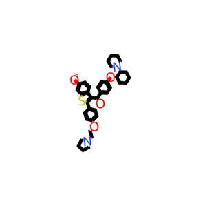 COc1ccc2c(C(=O)c3ccc(O[C@@H]4CCCC[C@H]4N4CCCCC4)cc3)c(-c3ccc(OCCN4CCCC4)cc3)sc2c1